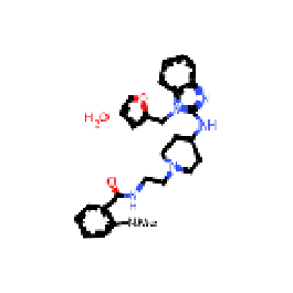 CNc1ccccc1C(=O)NCCN1CCC(Nc2nc3ccccc3n2Cc2ccco2)CC1.O